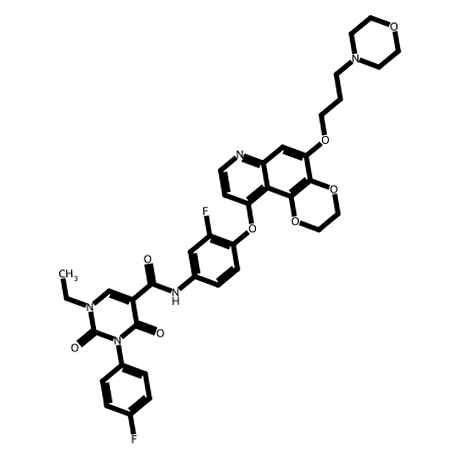 CCn1cc(C(=O)Nc2ccc(Oc3ccnc4cc(OCCCN5CCOCC5)c5c(c34)OCCO5)c(F)c2)c(=O)n(-c2ccc(F)cc2)c1=O